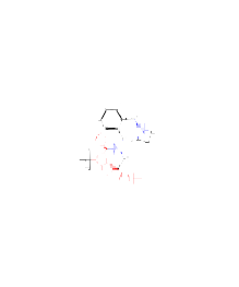 CC(C)(C)OC(=O)N(CC(=O)O)Cc1ccccc1CN1CCC1